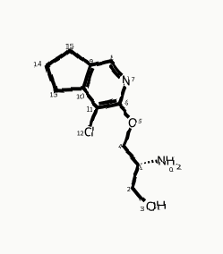 N[C@H](CO)COc1ncc2c(c1Cl)CCC2